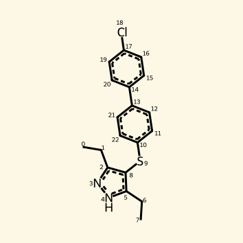 CCc1n[nH]c(CC)c1Sc1ccc(-c2ccc(Cl)cc2)cc1